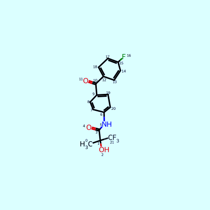 CC(O)(C(=O)Nc1ccc(C(=O)c2ccc(F)cc2)cc1)C(F)(F)F